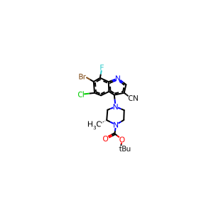 C[C@@H]1CN(c2c(C#N)cnc3c(F)c(Br)c(Cl)cc23)CCN1C(=O)OC(C)(C)C